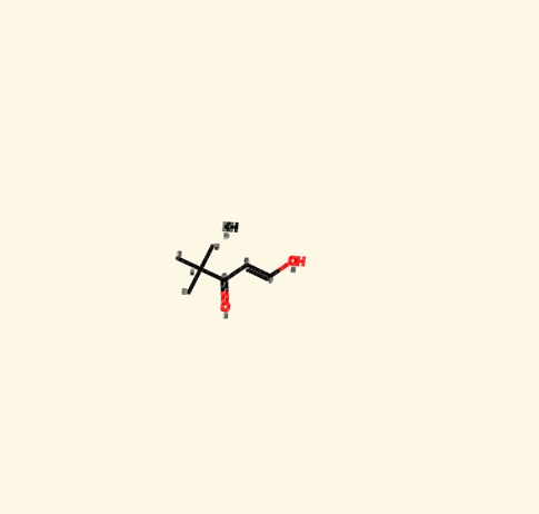 CC(C)(C)C(=O)/C=C/O.[KH]